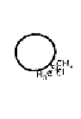 C[Si](C)(Cl)C1CCCCCCCCCCCCCCCCC1